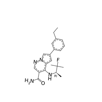 CCc1cccc(-c2cc3c(N[C@H](C)C(C)(C)F)c(C(N)=O)cnn3c2)c1